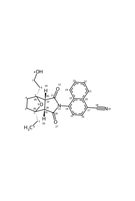 CC[C@]12CC[C@](CCO)(O1)[C@@H]1C(=O)N(c3ccc(C#N)c4ccccc34)C(=O)[C@@H]12